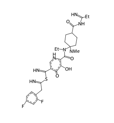 CCC(=N)NC(=O)C1CCC(NC)(N(CC)C(=O)c2[nH]cc(C(=N)SC(=N)Cc3ccc(F)cc3F)c(=O)c2O)CC1